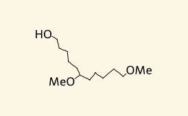 COCCCCCC(CCCCCO)OC